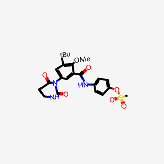 COc1c(C(=O)Nc2ccc(OS(C)(=O)=O)cc2)cc(N2C(=O)CCNC2=O)cc1C(C)(C)C